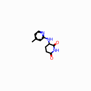 Cc1ccnc(NC2CCC(=O)NC2=O)c1